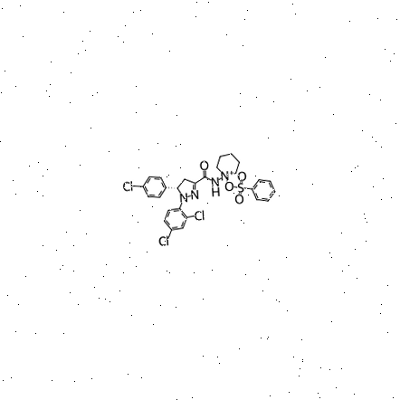 O=C(N[N+]1(OS(=O)(=O)c2ccccc2)CCCCC1)C1=NN(c2ccc(Cl)cc2Cl)[C@H](c2ccc(Cl)cc2)C1